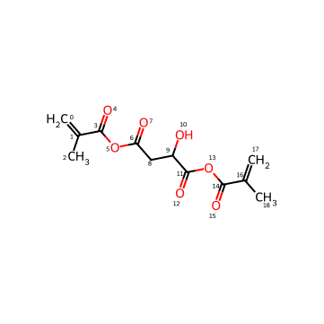 C=C(C)C(=O)OC(=O)CC(O)C(=O)OC(=O)C(=C)C